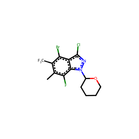 Cc1c(C(F)(F)F)c(Br)c2c(Cl)nn(C3CCCCO3)c2c1F